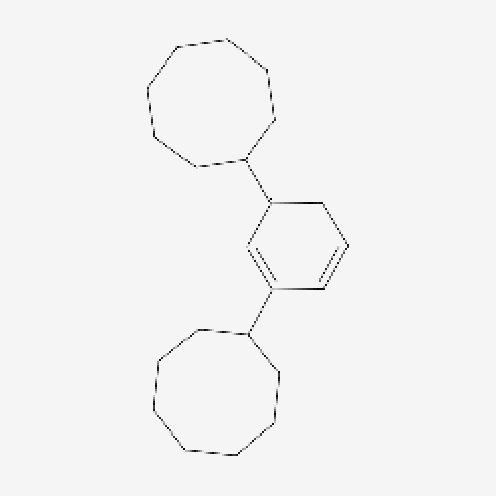 C1=CC(C2CCCCCCC2)=C[C](C2CCCCCCC2)C1